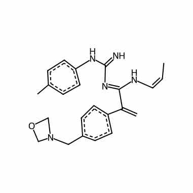 C=C(/C(=N/C(=N)Nc1ccc(C)cc1)N/C=C\C)c1ccc(CN2COC2)cc1